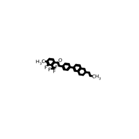 CCCC1CCc2cc(-c3ccc(CC(=O)c4ccc(C)c(F)c4C(F)(F)F)cc3)ccc2C1